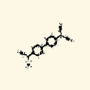 [C-]#[N+]C([N+]#[C-])c1ccc(-c2ccc(C(C#N)C#N)cc2)cc1